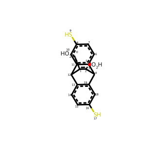 O=C(O)C1=C(C(=O)O)C2c3ccc(S)cc3C1c1ccc(S)cc12